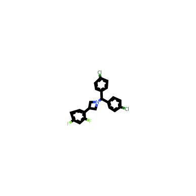 Fc1ccc(C2CN(C(c3ccc(Cl)cc3)c3ccc(Cl)cc3)C2)c(F)c1